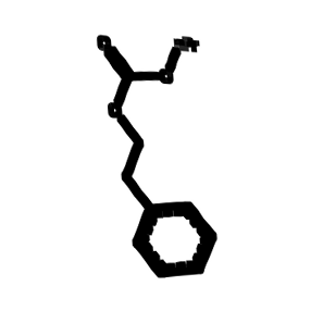 [CH2]CCOC(=O)OCCc1ccccc1